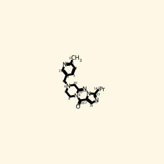 Cc1ccc(CN2CCn3c(nn4c(C(C)C)ncc4c3=O)C2)cn1